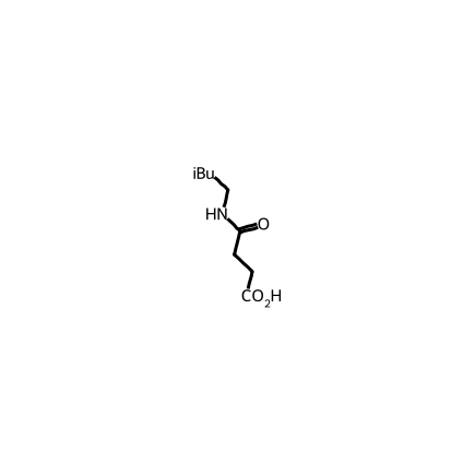 CCC(C)CNC(=O)CCC(=O)O